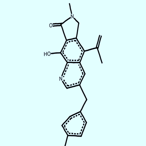 C=C(C)c1c2c(c(O)c3ncc(Cc4ccc(C)cc4)cc13)C(=O)N(C)C2